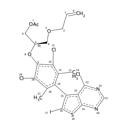 C=CCOC[C@H](COC(C)=O)Oc1c(Cl)c(C)c(-c2c(I)sc3ncnc(Cl)c23)c(C)c1Cl